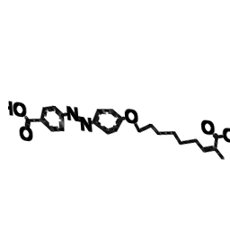 CC(=CCCCCCCOc1ccc(N=Nc2ccc(C(=O)O)cc2)cc1)C(=O)O